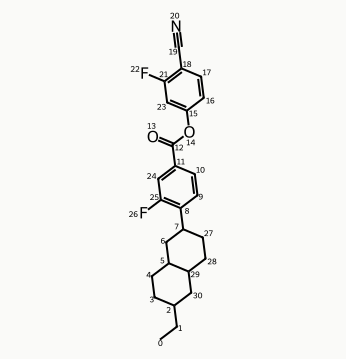 CCC1CCC2CC(c3ccc(C(=O)Oc4ccc(C#N)c(F)c4)cc3F)CCC2C1